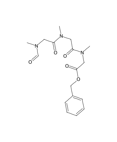 CN(C=O)CC(=O)N(C)CC(=O)N(C)CC(=O)OCc1ccccc1